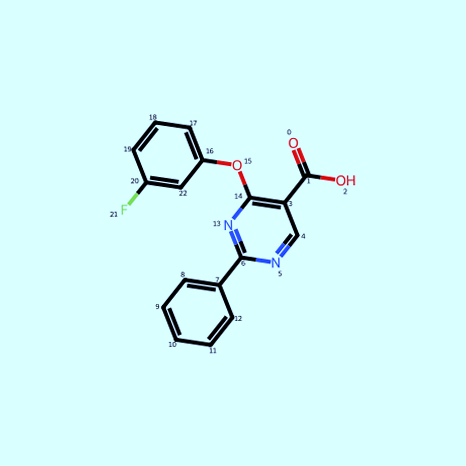 O=C(O)c1cnc(-c2ccccc2)nc1Oc1cccc(F)c1